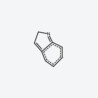 [c]1ccc2c(c1)=NCC=2